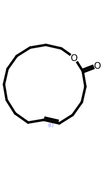 O=C1CCC/C=C/CCCCCCCCCO1